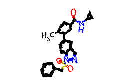 Cc1ccc(C(=O)NC2CC2)cc1-c1ccc2c(cnn2S(=O)(=O)Cc2ccccc2)c1